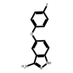 Nc1n[nH]c2ccc(Oc3ccc(F)cc3)cc12